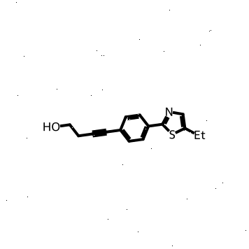 CCc1cnc(-c2ccc(C#CCCO)cc2)s1